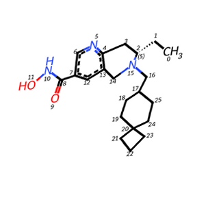 CC[C@H]1Cc2ncc(C(=O)NO)cc2CN1CC1CCC2(CCC2)CC1